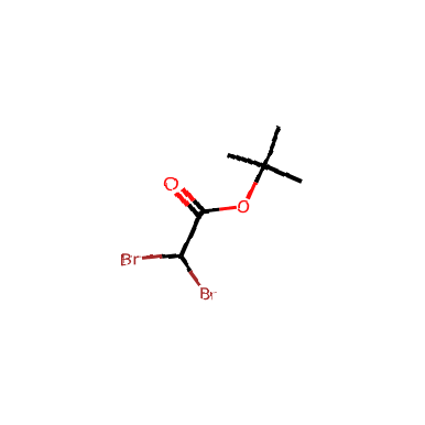 CC(C)(C)OC(=O)C(Br)Br